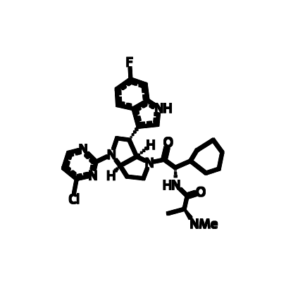 CN[C@@H](C)C(=O)N[C@H](C(=O)N1CC[C@@H]2[C@H]1[C@@H](c1c[nH]c3cc(F)ccc13)CN2c1nccc(Cl)n1)C1CCCCC1